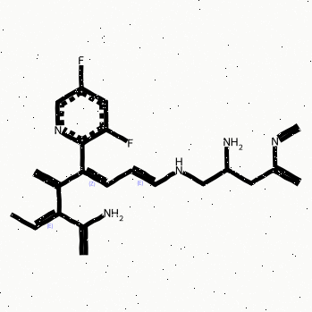 C=NC(=C)CC(N)CN/C=C/C=C(/C(=C)/C(=C\C)C(=C)N)c1ncc(F)cc1F